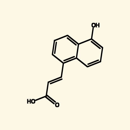 O=C(O)C=Cc1cccc2c(O)cccc12